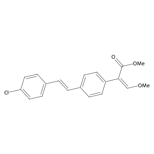 COC=C(C(=O)OC)c1ccc(C=Cc2ccc(Cl)cc2)cc1